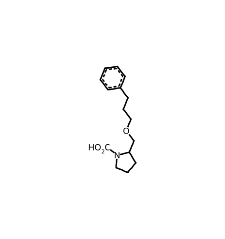 O=C(O)N1CCCC1COCCCc1ccccc1